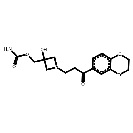 NC(=O)OCC1(O)CN(CCC(=O)c2ccc3c(c2)OCCO3)C1